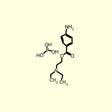 CCN(CC)CCOC(=O)c1ccc(N)cc1.OB(O)O